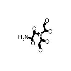 NC(=O)C(=O)N(C(=O)C=O)C(=O)C=O